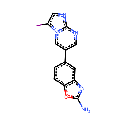 Nc1nc2cc(-c3cnc4ncc(I)n4c3)ccc2o1